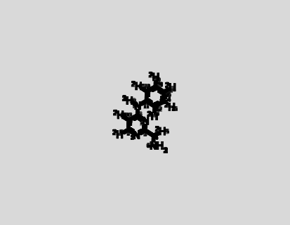 [2H]c1nc(C([2H])N)nc(N([2H])c2c([2H])c([2H])c([2H])c([2H])c2[2H])c1[2H]